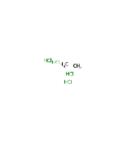 C.C.Cl.Cl.Cl.Cl